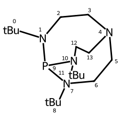 CC(C)(C)N1CCN2CCN(C(C)(C)C)P1N(C(C)(C)C)CC2